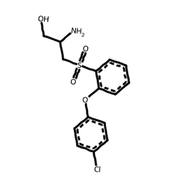 NC(CO)CS(=O)(=O)c1ccccc1Oc1ccc(Cl)cc1